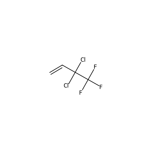 C=CC(Cl)(Cl)C(F)(F)F